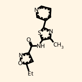 CCc1cc(C(=O)Nc2sc(-c3cccnc3)nc2C)no1